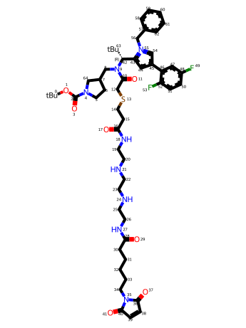 CC(C)(C)OC(=O)N1CCC(CN(C(=O)CSCCC(=O)NCCNCCNCCNC(=O)CCCCCN2C(=O)C=CC2=O)[C@@H](c2cc(-c3cc(F)ccc3F)cn2Cc2ccccc2)C(C)(C)C)C1